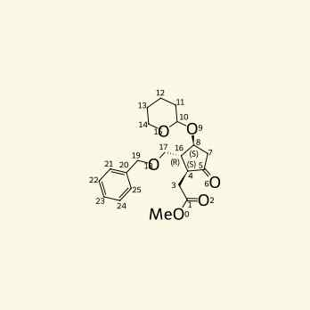 COC(=O)C[C@@H]1C(=O)C[C@H](OC2CCCCO2)[C@H]1COCc1ccccc1